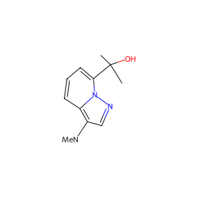 CNc1cnn2c(C(C)(C)O)cccc12